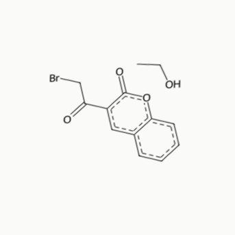 CCO.O=C(CBr)c1cc2ccccc2oc1=O